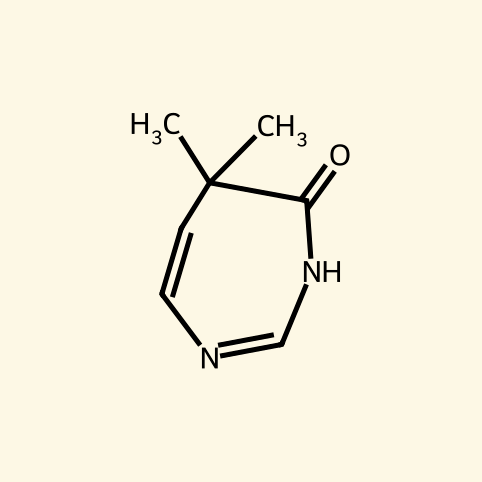 CC1(C)C=CN=CNC1=O